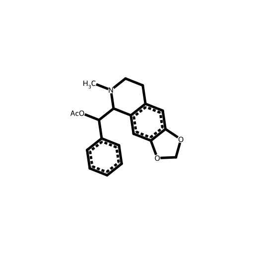 CC(=O)OC(c1ccccc1)C1c2cc3c(cc2CCN1C)OCO3